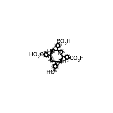 O=C(O)c1ccc(-c2c3nc(c(-c4ccc(C(=O)O)cc4)c4ccc([nH]4)c(-c4ccc(C(=O)O)cc4)c4nc(c(-c5ccc(CO)cc5)c5ccc2[nH]5)C=C4)C=C3)cc1